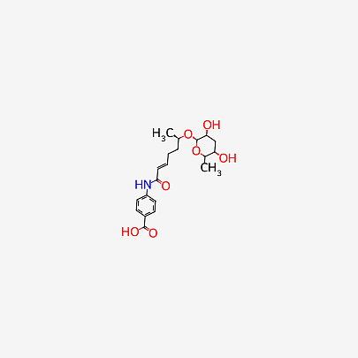 CC1O[C@@H](O[C@H](C)CC/C=C/C(=O)Nc2ccc(C(=O)O)cc2)[C@@H](O)C[C@H]1O